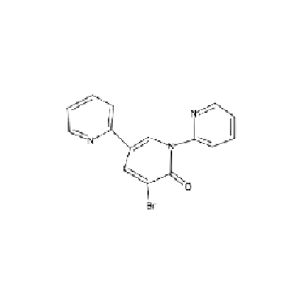 O=c1c(Br)cc(-c2ccccn2)cn1-c1ccccn1